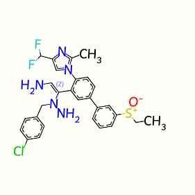 CC[S+]([O-])c1cccc(-c2ccc(-n3cc(C(F)F)nc3C)c(/C(=C/N)N(N)Cc3ccc(Cl)cc3)c2)c1